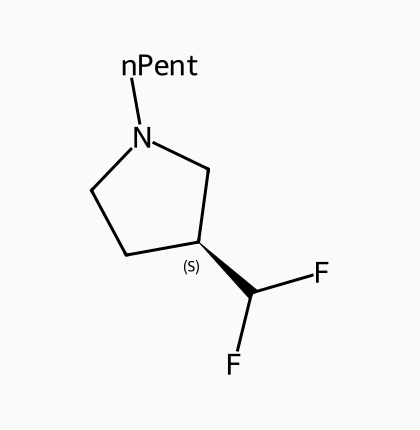 CCCCCN1CC[C@H](C(F)F)C1